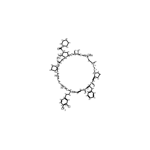 CC[C@H](C)[C@H]1CN(C)CCN2CCCC2=CN(C)C(Cc2ccccc2)=CN(C)C=CN[C@@H](CCc2ccc(C(F)(F)F)c(Cl)c2)CCNCCNCC2(CCCC2)NC(C)[C@H](C(C)C)N2C(C[C@H](C(=O)N3CCCCC3)C2C)CN(C)[C@@H](C)CN1